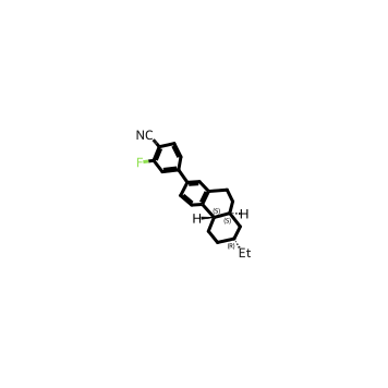 CC[C@@H]1CC[C@@H]2c3ccc(-c4ccc(C#N)c(F)c4)cc3CC[C@H]2C1